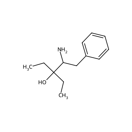 CCC(O)(CC)C(N)Cc1ccccc1